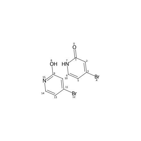 O=c1cc(Br)cc[nH]1.Oc1cc(Br)ccn1